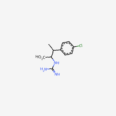 CC(c1ccc(Cl)cc1)C(NC(=N)N)C(=O)O